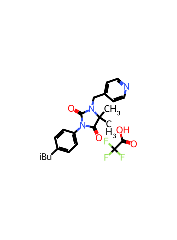 CCC(C)c1ccc(N2C(=O)N(Cc3ccncc3)C(C)(C)C2=O)cc1.O=C(O)C(F)(F)F